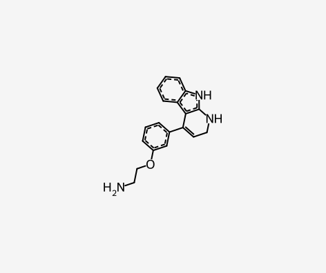 NCCOc1cccc(C2=CCNc3[nH]c4ccccc4c32)c1